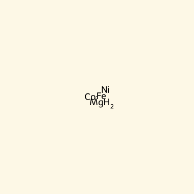 [Co].[Fe].[MgH2].[Ni]